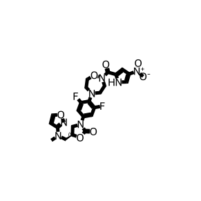 CN(C[C@H]1CN(c2cc(F)c(N3CCON(C(=O)c4cc([N+](=O)[O-])c[nH]4)CC3)c(F)c2)C(=O)O1)c1ccon1